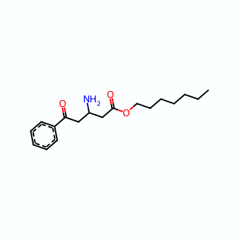 CCCCCCCOC(=O)CC(N)CC(=O)c1ccccc1